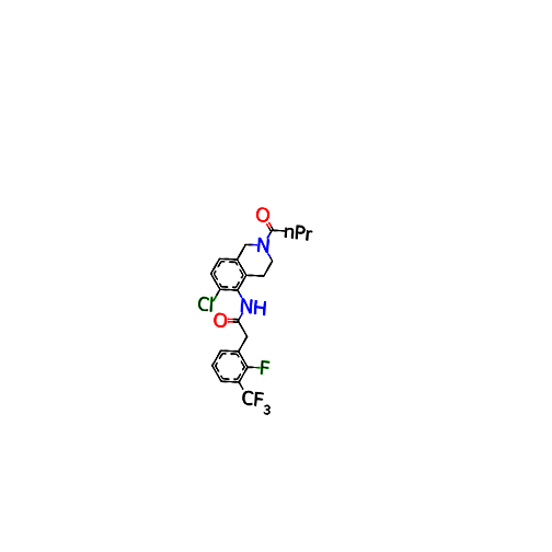 CCCC(=O)N1CCc2c(ccc(Cl)c2NC(=O)Cc2cccc(C(F)(F)F)c2F)C1